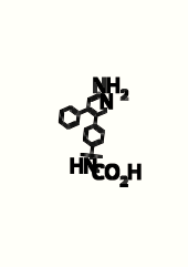 CC(C)(NC(=O)O)c1ccc(-c2cnc(N)cc2-c2ccccc2)cc1